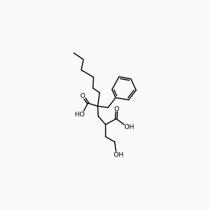 CCCCCCC(Cc1ccccc1)(CC(CCO)C(=O)O)C(=O)O